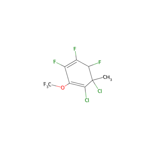 CC1(Cl)C(Cl)=C(OC(F)(F)F)C(F)=C(F)C1F